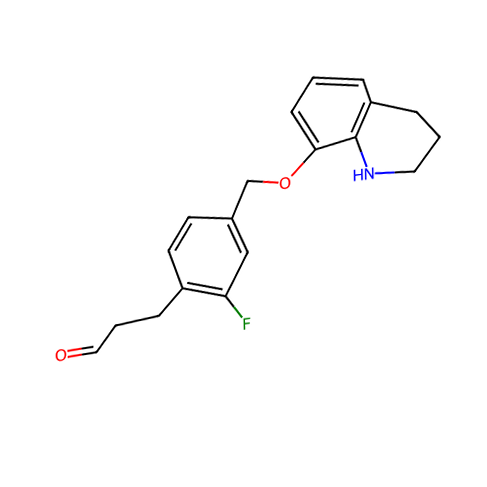 O=CCCc1ccc(COc2cccc3c2NCCC3)cc1F